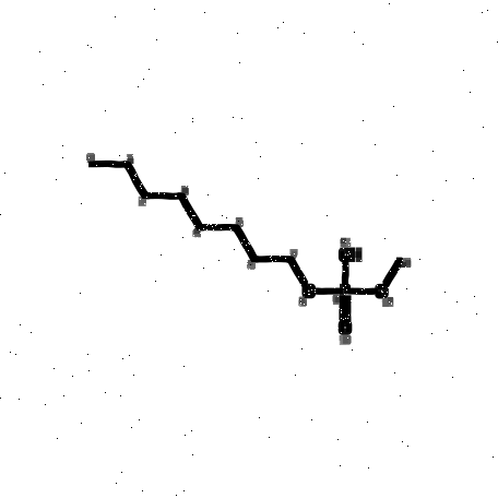 CCCCCCCCOP(=O)(O)OC